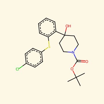 CC(C)(C)OC(=O)N1CCC(O)(c2ccccc2Sc2ccc(Cl)cc2)CC1